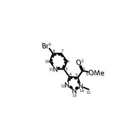 COC(=O)c1c(-c2ccc(Br)cn2)nnn1C